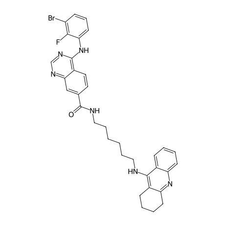 O=C(NCCCCCCNc1c2c(nc3ccccc13)CCCC2)c1ccc2c(Nc3cccc(Br)c3F)ncnc2c1